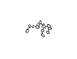 c1ccc(-c2ccc(-c3nc(-c4cccc5ccc(-c6ccccc6)cc45)nc(-c4cccc5oc6c(-c7ccc(-c8cccc(-c9ccccc9)c8)cc7)cccc6c45)n3)cc2)cc1